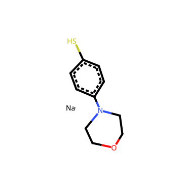 Sc1ccc(N2CCOCC2)cc1.[Na]